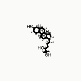 C[C@H](CCC(O)C(C)(C)O)[C@H]1CC[C@H]2[C@@H]3CC[C@@H]4C[C@H](O)CC[C@]4(C)[C@H]3CC[C@]12C